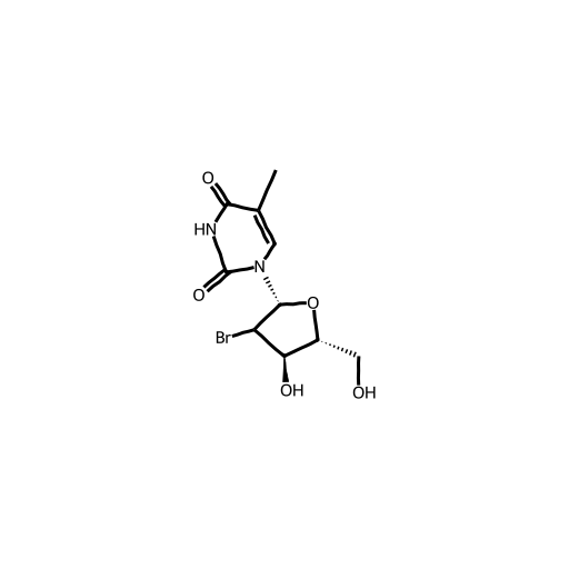 Cc1cn([C@@H]2O[C@H](CO)[C@@H](O)C2Br)c(=O)[nH]c1=O